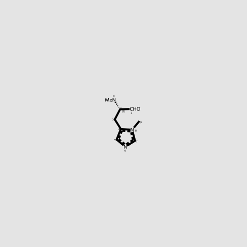 CN[C@H](C=O)Cc1cncn1C